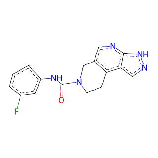 O=C(Nc1cccc(F)c1)N1CCc2c(cnc3[nH]ncc23)C1